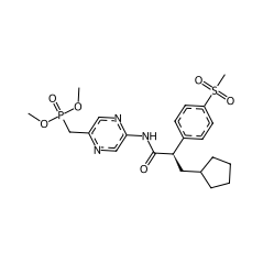 COP(=O)(Cc1cnc(NC(=O)[C@H](CC2CCCC2)c2ccc(S(C)(=O)=O)cc2)cn1)OC